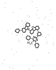 Cc1c(-c2ccccc2)nc(-c2cccc(-c3cccc4oc5c(-n6c7ccccc7c7cc(-c8ccccc8)ccc76)cccc5c34)c2)nc1-c1ccccc1